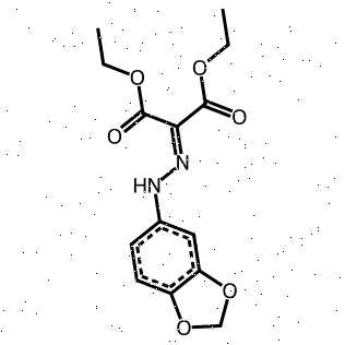 CCOC(=O)C(=NNc1ccc2c(c1)OCO2)C(=O)OCC